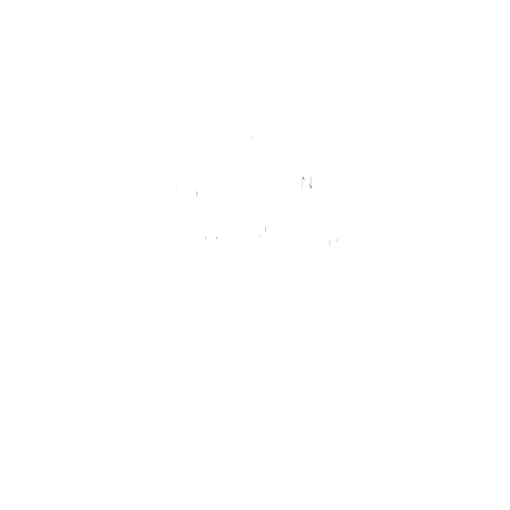 CCCCOC1NCCCS(=O)(=O)O1